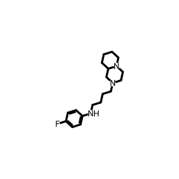 Fc1ccc(NCCCCN2CCN3CCCCC3C2)cc1